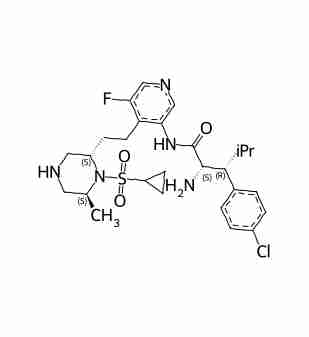 CC(C)[C@H](c1ccc(Cl)cc1)[C@H](N)C(=O)Nc1cncc(F)c1CC[C@H]1CNC[C@H](C)N1S(=O)(=O)C1CC1